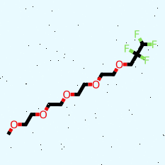 COCCOCCOCCOCCOCC(F)(F)C(F)F